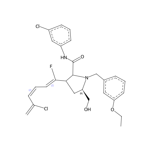 C=C(Cl)/C=C\C=C(/F)C1C[C@H](CO)N(Cc2cccc(OCC)c2)C1C(=O)Nc1cccc(Cl)c1